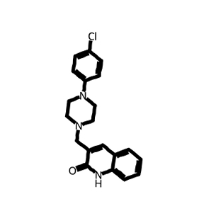 O=c1[nH]c2ccccc2cc1CN1CCN(c2ccc(Cl)cc2)CC1